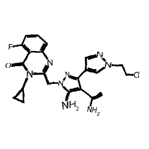 C=C(N)c1c(-c2cnn(CCCl)c2)nn(Cc2nc3cccc(F)c3c(=O)n2C2CC2)c1N